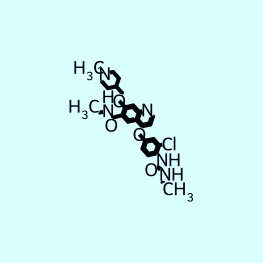 CCNC(=O)Nc1ccc(Oc2ccnc3cc(OCC4CCN(C)CC4)c(C(=O)NCC)cc23)cc1Cl